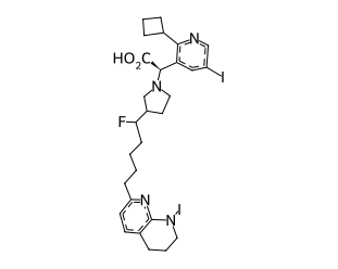 O=C(O)[C@@H](c1cc(I)cnc1C1CCC1)N1CCC(C(F)CCCCc2ccc3c(n2)N(I)CCC3)C1